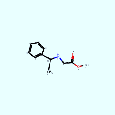 C[C@H](NCC(=O)OC(C)(C)C)c1ccccc1